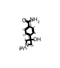 CC(C)N1CC(O)(c2ccc(C(N)=O)cc2)C1